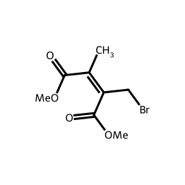 COC(=O)C(C)=C(CBr)C(=O)OC